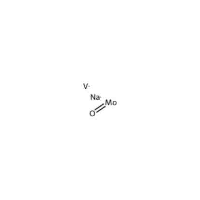 [Na].[O]=[Mo].[V]